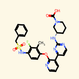 Cc1c(Oc2ncccc2-c2ccnc(N[C@H]3CCCN(C(=O)O)C3)n2)ccc(NS(=O)(=O)Cc2ccccc2)c1F